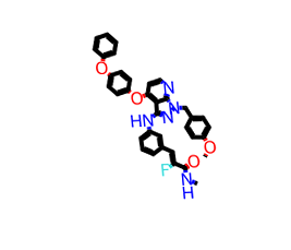 CNC(=O)C(F)=Cc1cccc(Nc2nn(Cc3ccc(OC)cc3)c3nccc(Oc4ccc(Oc5ccccc5)cc4)c23)c1